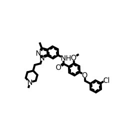 COc1cc(OCc2cccc(Cl)c2)ccc1C(=O)Nc1ccc2c(C)nn(CCC3CCN(C)CC3)c2c1